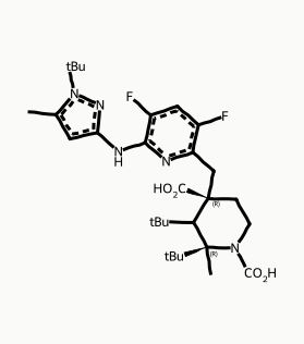 Cc1cc(Nc2nc(C[C@]3(C(=O)O)CCN(C(=O)O)[C@@](C)(C(C)(C)C)C3C(C)(C)C)c(F)cc2F)nn1C(C)(C)C